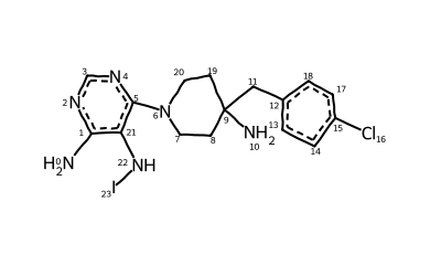 Nc1ncnc(N2CCC(N)(Cc3ccc(Cl)cc3)CC2)c1NI